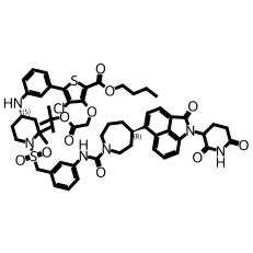 CCCCOC(=O)c1sc(-c2cccc(N[C@H]3CCN(S(=O)(=O)Cc4cccc(NC(=O)N5CCC[C@@H](c6ccc7c8c(cccc68)N(C6CCC(=O)NC6=O)C7=O)CC5)c4)C(C)(C)C3)c2)c(Cl)c1OCC(=O)OC(C)(C)C